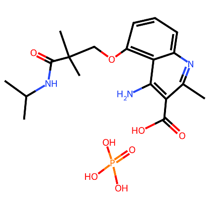 Cc1nc2cccc(OCC(C)(C)C(=O)NC(C)C)c2c(N)c1C(=O)O.O=P(O)(O)O